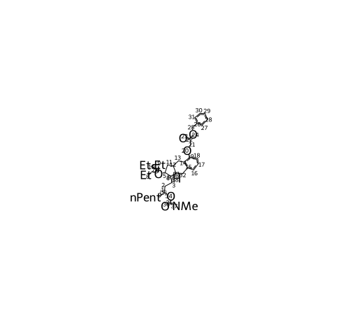 CCCCC[C@@H](CC[C@H]1C(O[Si](CC)(CC)CC)CC2Cc3c(cccc3OCC(=O)OCc3ccccc3)C[C@@H]21)OC(=O)NC